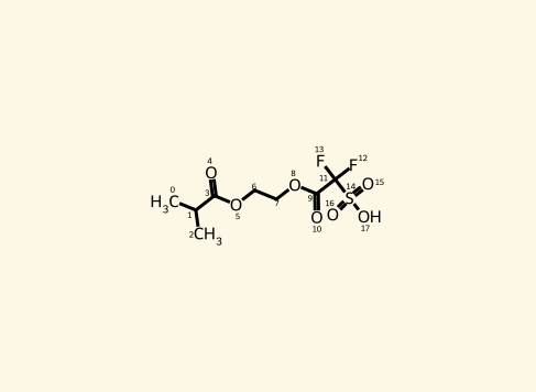 CC(C)C(=O)OCCOC(=O)C(F)(F)S(=O)(=O)O